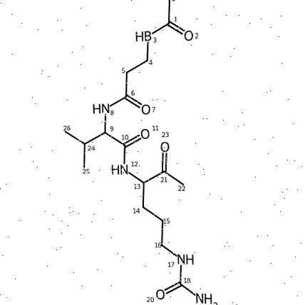 CC(=O)BCCC(=O)NC(C(=O)NC(CCCNC(N)=O)C(C)=O)C(C)C